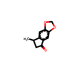 CC1CC(=O)c2cc3c(cc21)OCO3